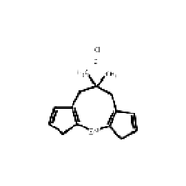 CC1(C)CC2=[C](CC=C2)[Zr+2][C]2=C(C=CC2)C1.[Cl-].[Cl-]